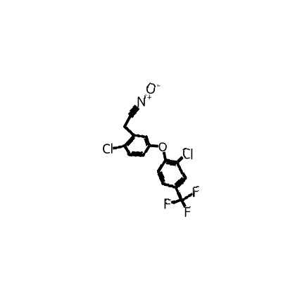 [O-][N+]#CCc1cc(Oc2ccc(C(F)(F)F)cc2Cl)ccc1Cl